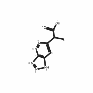 CC(C(=O)O)c1cc2[nH]nnc2nn1